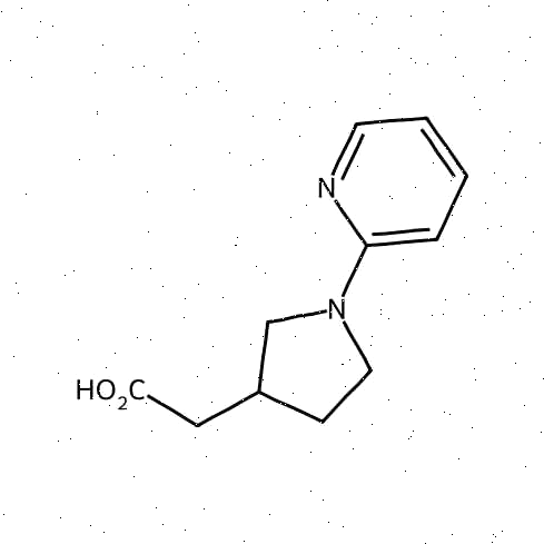 O=C(O)CC1CCN(c2ccccn2)C1